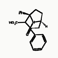 CC(C)[C@]12CC[C@@H](CC(=O)C1C(=O)O)N2Cc1ccccc1